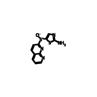 Nc1ncc([S+]([O-])c2ccc3cccnc3n2)s1